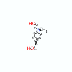 CN(CCO)c1ccc(C#CCO)cc1